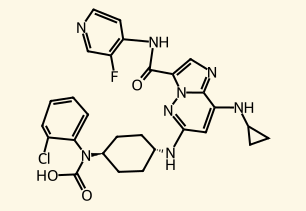 O=C(Nc1ccncc1F)c1cnc2c(NC3CC3)cc(N[C@H]3CC[C@H](N(C(=O)O)c4ccccc4Cl)CC3)nn12